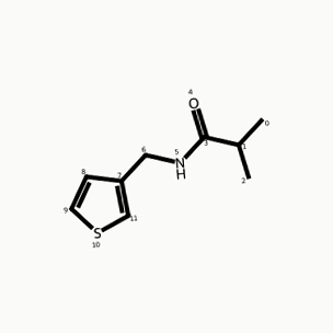 CC(C)C(=O)NCc1ccsc1